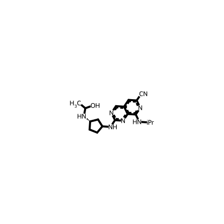 CC(C)Nc1nc(C#N)cc2cnc(NC3CC[C@H](NC(C)O)C3)nc12